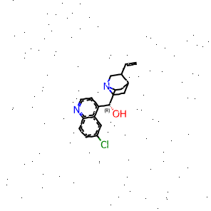 C=CC1CN2CCC1CC2[C@H](O)c1ccnc2ccc(Cl)cc12